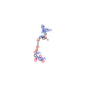 C[C@H](NC(=O)c1cccc(NC2(c3nnc(-c4ccncc4)[nH]3)CCNCC2)c1)c1cccc(OCCCCCCOCCOCC(=O)Nc2cccc3c2CN(C2CCC(=O)NC2=O)C3=O)c1